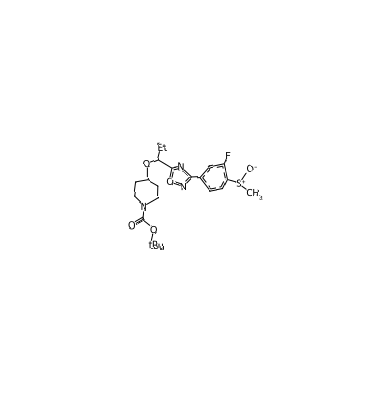 CCC(OC1CCN(C(=O)OC(C)(C)C)CC1)c1nc(-c2ccc([S+](C)[O-])c(F)c2)no1